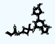 C=CC(=O)NC1CC(C)(Oc2nc(-c3cnn(C)c3)cn3nccc23)C1